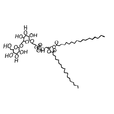 CCCCCCCCCCCCCCCCCC(=O)OC[C@H](COP(=O)(O)OCCOC1OC(COC2OC(CO)C(O)C(O)C2O)C(O)C(O)C1O)OC(=O)CCCCCCCCCCCCCCCCC